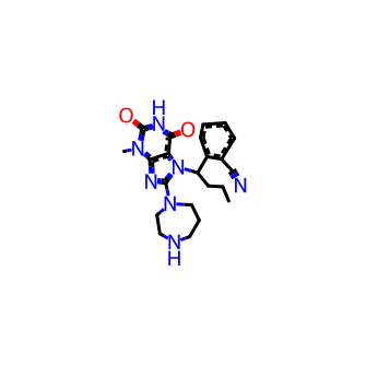 CCCC(c1ccccc1C#N)n1c(N2CCCNCC2)nc2c1c(=O)[nH]c(=O)n2C